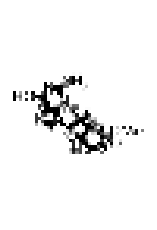 CO[P@]1(=O)OC[C@H]2O[C@@H](n3cnc4c(O)nc(N)nc43)[C@](C)(F)[C@@H]2O1